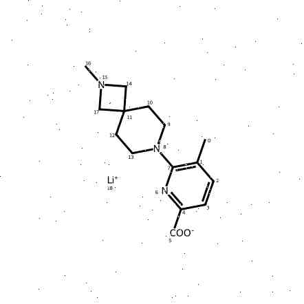 Cc1ccc(C(=O)[O-])nc1N1CCC2(CC1)CN(C)C2.[Li+]